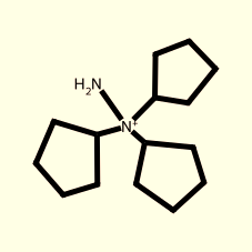 N[N+](C1CCCC1)(C1CCCC1)C1CCCC1